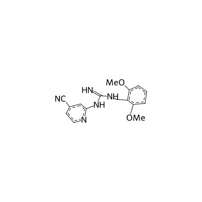 COc1cccc(OC)c1CNC(=N)Nc1cc(C#N)ccn1